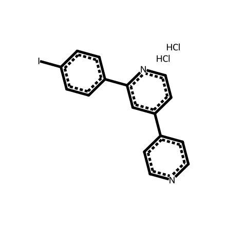 Cl.Cl.Ic1ccc(-c2cc(-c3ccncc3)ccn2)cc1